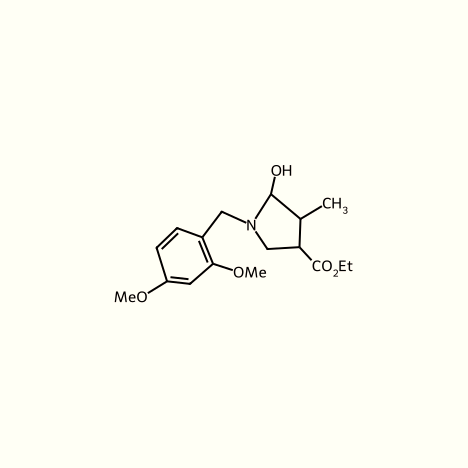 CCOC(=O)C1CN(Cc2ccc(OC)cc2OC)C(O)C1C